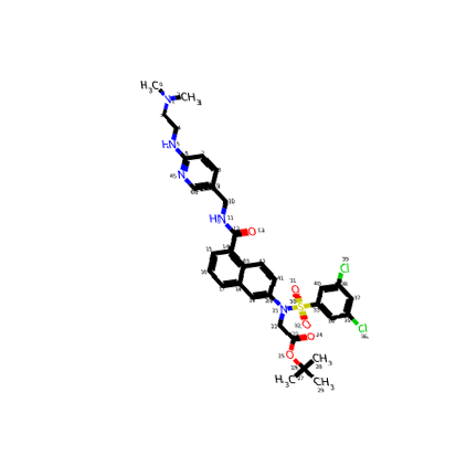 CN(C)CCNc1ccc(CNC(=O)c2cccc3cc(N(CC(=O)OC(C)(C)C)S(=O)(=O)c4cc(Cl)cc(Cl)c4)ccc23)cn1